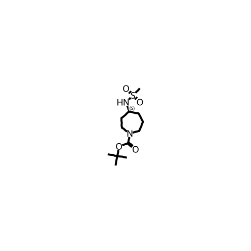 CC(C)(C)OC(=O)N1CCC[C@H](NS(C)(=O)=O)CC1